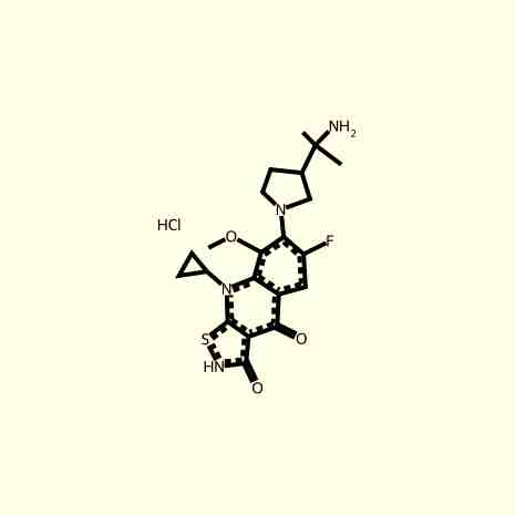 COc1c(N2CCC(C(C)(C)N)C2)c(F)cc2c(=O)c3c(=O)[nH]sc3n(C3CC3)c12.Cl